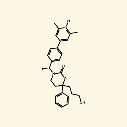 Cc1cc(-c2ccc([C@H](C)N3CCC(CCCO)(c4ccccc4)OC3=O)cc2)cc(C)[n+]1[O-]